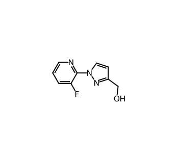 OCc1ccn(-c2ncccc2F)n1